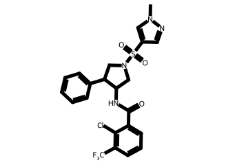 Cn1cc(S(=O)(=O)N2CC(NC(=O)c3cccc(C(F)(F)F)c3Cl)C(c3ccccc3)C2)cn1